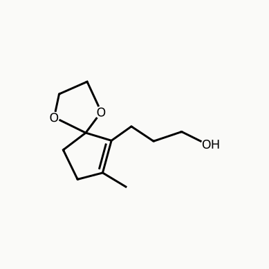 CC1=C(CCCO)C2(CC1)OCCO2